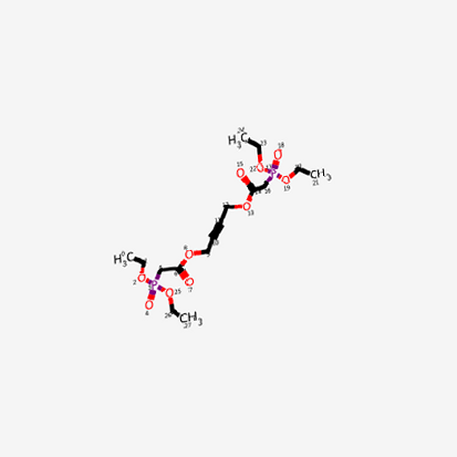 CCOP(=O)(CC(=O)OCC#CCOC(=O)CP(=O)(OCC)OCC)OCC